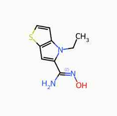 CCn1c(/C(N)=N/O)cc2sccc21